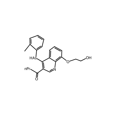 CCCC(=O)c1cnc2c(OCCO)cccc2c1[AsH]c1ccccc1C